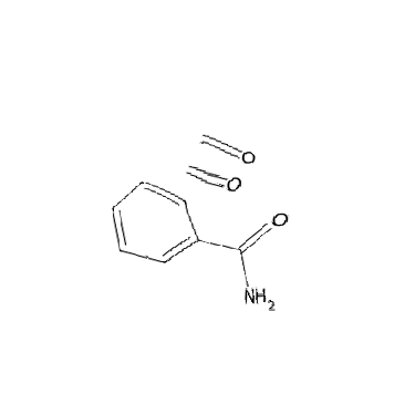 C=O.C=O.NC(=O)c1ccccc1